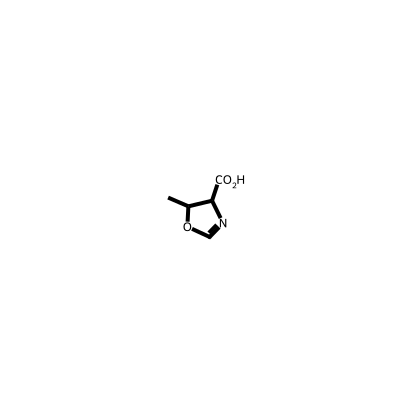 CC1OC=NC1C(=O)O